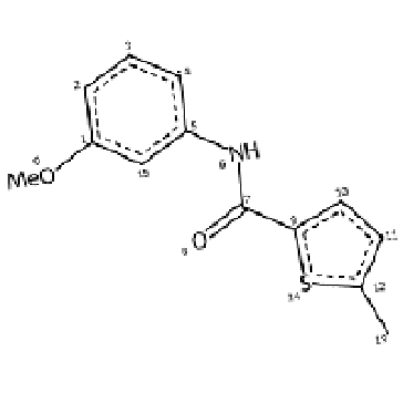 COc1cc[c]c(NC(=O)c2ccc(C)s2)c1